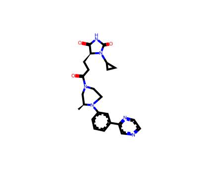 C[C@H]1CN(C(=O)CC[C@H]2C(=O)NC(=O)N2C2CC2)CCN1c1cccc(-c2cnccn2)c1